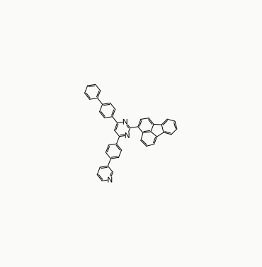 c1ccc(-c2ccc(-c3cc(-c4ccc(-c5cccnc5)cc4)nc(-c4ccc5c6c(cccc46)-c4ccccc4-5)n3)cc2)cc1